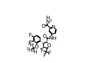 [2H]C([2H])([2H])Oc1c([C@@H]2[C@@H](C(=O)Nc3ccnc(C(N)=O)c3)O[C@@](C)(C(F)(F)F)[C@H]2C)ccc(F)c1F